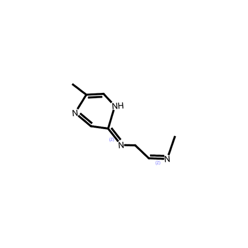 C/N=C\C/N=c1/cnc(C)c[nH]1